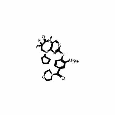 COc1cc(C(=O)N2CCOCC2)ccc1Nc1ncc2c(n1)N(C1CCCC1)CC(F)(F)C(=O)N2C